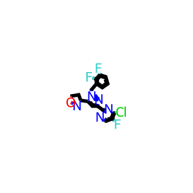 Fc1cnc(-c2cc(C3=NOCC3)n(Cc3cccc(F)c3F)n2)nc1Cl